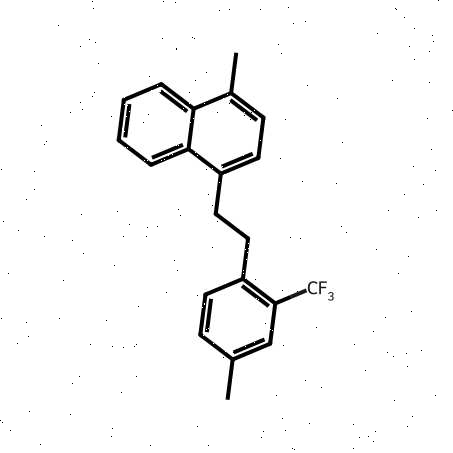 Cc1ccc(CCc2ccc(C)c3ccccc23)c(C(F)(F)F)c1